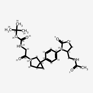 CC(=O)NCC1COC(=O)N1c1ccc(C23CC2CN(C(=O)CNC(=O)OC(C)(C)C)C3)cc1